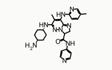 CC1=C(Nc2ccc(C)cn2)C2=NCC(C(=O)Nc3ccncc3)N2N=C1N[C@H]1CC[C@H](N)CC1